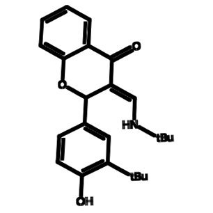 CC(C)(C)NC=C1C(=O)c2ccccc2OC1c1ccc(O)c(C(C)(C)C)c1